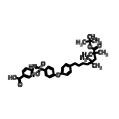 CC(C)(CCCCc1ccc(Oc2ccc(S(=O)(=O)Nc3ccc(C(=O)O)cn3)cc2)cc1)CC(C)(C)C(=O)OC(C)(C)C